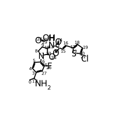 CC(N)c1ccc(N2CCC(NS(=O)(=O)/C=C/c3ccc(Cl)s3)C2=O)c(F)c1.O=CO